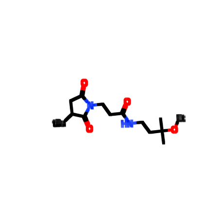 CCOC(C)(C)CCNC(=O)CCN1C(=O)CC(C(C)(C)C)C1=O